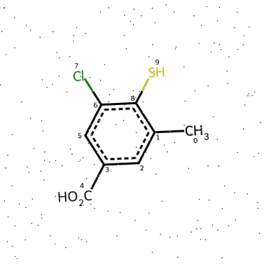 Cc1cc(C(=O)O)cc(Cl)c1S